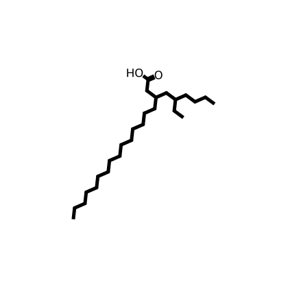 CCCCCCCCCCCCCCCC(CC(=O)O)CC(CC)CCCC